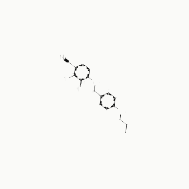 CCCOc1ccc(COc2ccc(C#N)c(F)c2F)cc1